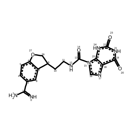 N=C(N)c1ccc2c(c1)C(CCNC(=O)n1cnc3c(=O)[nH]c(=O)[nH]c31)CO2